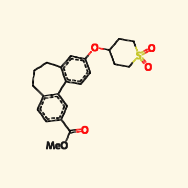 COC(=O)c1ccc2c(c1)-c1ccc(OC3CCS(=O)(=O)CC3)cc1CCC2